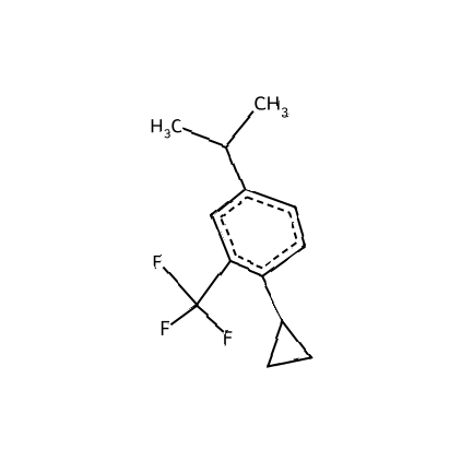 CC(C)c1ccc(C2CC2)c(C(F)(F)F)c1